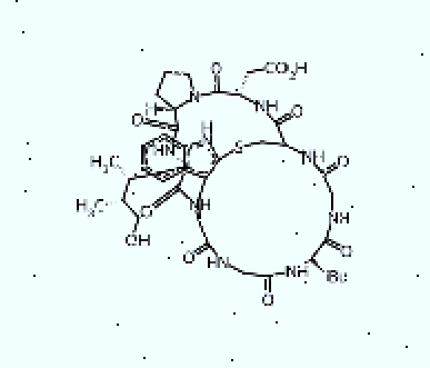 CC[C@H](C)[C@@H]1NC(=O)CNC(=O)C2Cc3c([nH]c4ccccc34)SCC(NC(=O)CNC1=O)C(=O)N[C@@H](CC(=O)O)C(=O)N1CCC[C@H]1C(=O)N[C@@H]([C@@H](C)[C@@H](C)CO)C(=O)N2